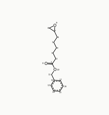 O=C(CCCCCC1CO1)OCc1ccccc1